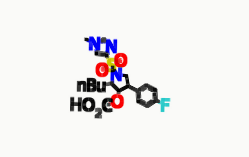 CCCCC1C(OC(=O)O)C(c2ccc(F)cc2)CN1S(=O)(=O)c1cn(C)cn1